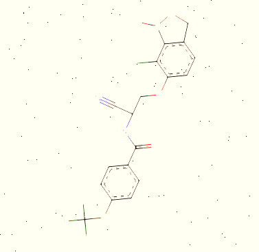 C[C@](C#N)(COc1ccc2c(c1Cl)B(O)OC2)NC(=O)c1ccc(SC(F)(F)F)cc1